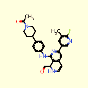 CC(=O)N1CCC(c2ccc(Nc3nc(-c4cnc(F)c(C)c4)cc4c3C(C=O)NC=C4)cc2)CC1